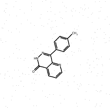 Cc1ccc(-c2n[nH]c(=O)c3cccnc23)cc1